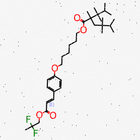 CC(C)C(C)(C)CC(C)(C(=O)OCCCCCCOc1ccc(/C=C/C(=O)OCC(C)(F)F)cc1)C(C)(C)C(C)C